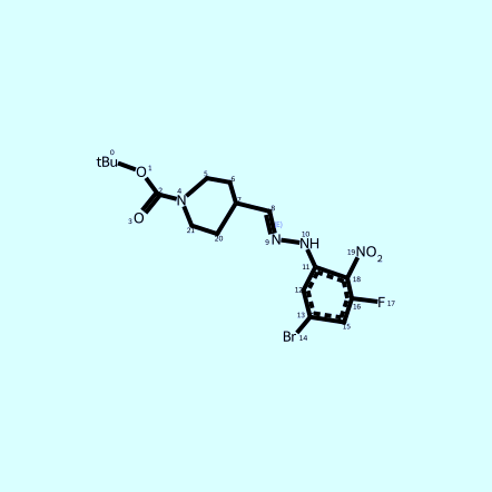 CC(C)(C)OC(=O)N1CCC(/C=N/Nc2cc(Br)cc(F)c2[N+](=O)[O-])CC1